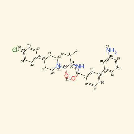 CC(C)[C@@H](NC(=O)c1cccc(-c2cccc(N)c2)c1)C(=O)N1CCC(c2ccc(Cl)cc2)CC1